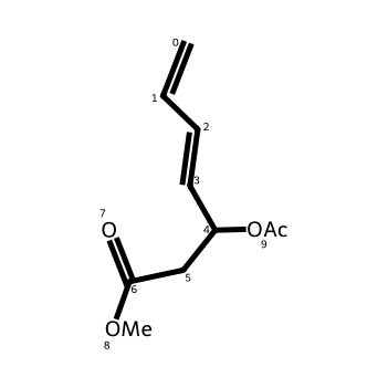 C=CC=CC(CC(=O)OC)OC(C)=O